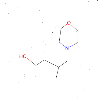 CC(CCO)CN1CCOCC1